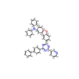 c1ccc(-c2ccc(-c3nc(-c4cccnc4)nc(-c4ccc5oc6cc7c8ccccc8n(-c8ccccc8)c7cc6c5c4)n3)cc2)cc1